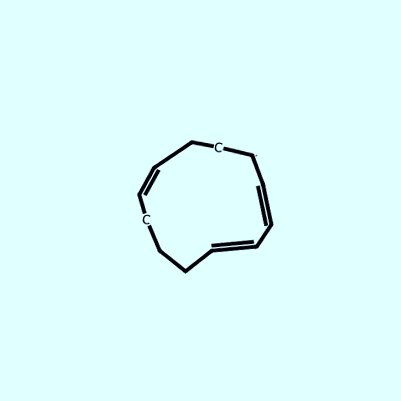 [CH]1/C=C\C=C\CCC/C=C\CC1